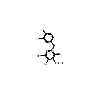 CCOC(=O)c1c(O)c(C(C)C)nn(Cc2ccc(Cl)c(Cl)c2)c1=O